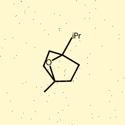 CC(C)C12C[CH]C(C)(CC1)O2